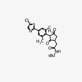 Cc1cc(-c2ncc(Cl)s2)cc(C)c1C1C(=O)CC(CC(=O)NC(C)(C)C)C1=O